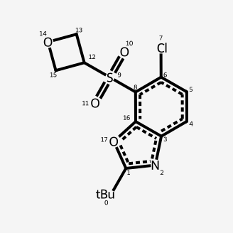 CC(C)(C)c1nc2ccc(Cl)c(S(=O)(=O)C3COC3)c2o1